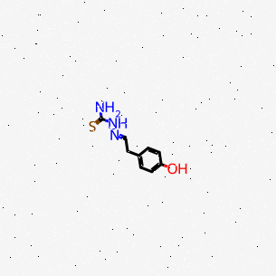 NC(=S)NN=CCc1ccc(O)cc1